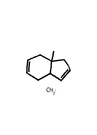 CC12CC=CCC1C=CC2.[CH2]